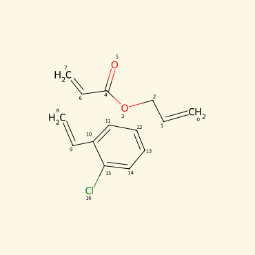 C=CCOC(=O)C=C.C=Cc1ccccc1Cl